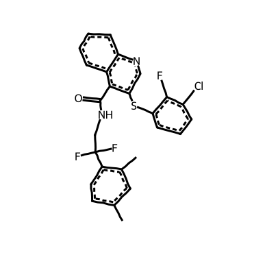 Cc1ccc(C(F)(F)CNC(=O)c2c(Sc3cccc(Cl)c3F)cnc3ccccc23)c(C)c1